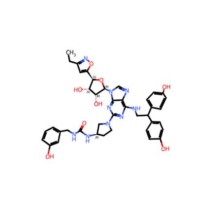 CCc1cc([C@H]2O[C@@H](n3cnc4c(NCC(c5ccc(O)cc5)c5ccc(O)cc5)nc(N5CC[C@@H](NC(=O)NCc6cccc(O)c6)C5)nc43)[C@H](O)[C@@H]2O)on1